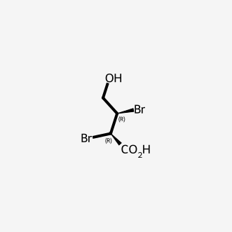 O=C(O)[C@@H](Br)[C@H](Br)CO